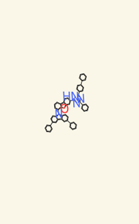 c1ccc(C2=NC(c3ccc(-c4ccccc4)cc3)NC(c3ccc4c(c3)oc3c(-n5c6ccc(-c7ccccc7)cc6c6cc(-c7ccccc7)ccc65)cccc34)=N2)cc1